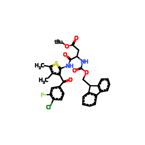 Cc1sc(NC(=O)C(CC(=O)OC(C)(C)C)NC(=O)OCC2c3ccccc3-c3ccccc32)c(C(=O)c2ccc(Cl)c(F)c2)c1C